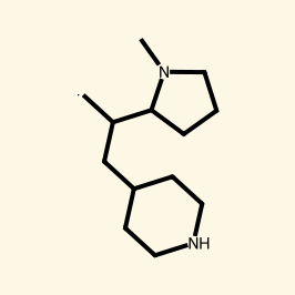 [CH2]C(CC1CCNCC1)C1CCCN1C